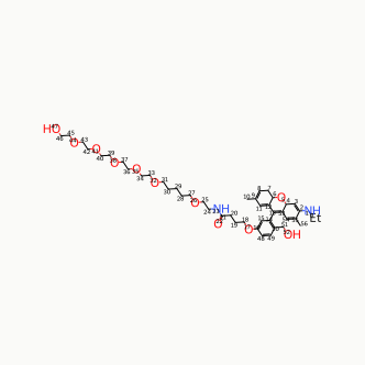 CCNC1=CC2OC3CC=C(C)C=C3C(c3cc(OCCCC(=O)NCCOCCCCCOCCOCCOCCOCCOCCO)ccc3CO)=C2C=C1C